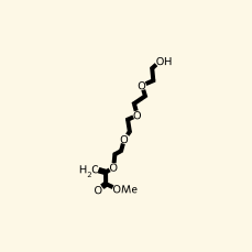 C=C(OCCOCCOCCOCCO)C(=O)OC